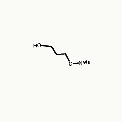 CNOCCCO